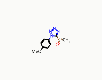 COc1ccc(-n2nnnc2[S+](C)[O-])cc1